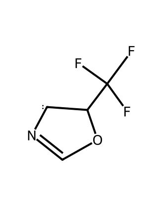 FC(F)(F)C1[C]N=CO1